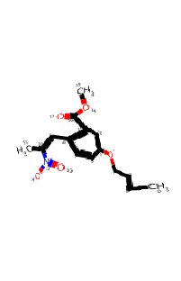 CCCCOc1ccc(C=C(C)[N+](=O)[O-])c(C(=O)OC)c1